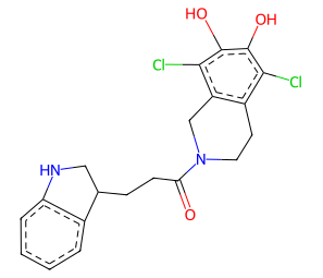 O=C(CCC1CNc2ccccc21)N1CCc2c(Cl)c(O)c(O)c(Cl)c2C1